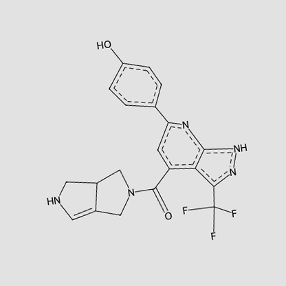 O=C(c1cc(-c2ccc(O)cc2)nc2[nH]nc(C(F)(F)F)c12)N1CC2=CNCC2C1